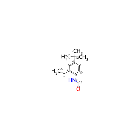 CCc1cc(C(C)(C)C)ccc1NC=O